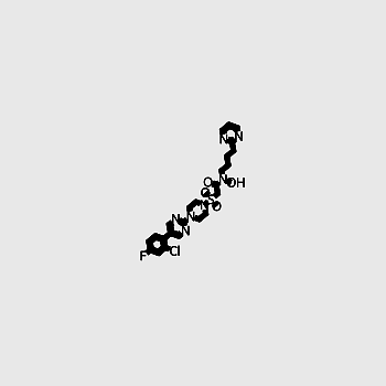 O=C(CS(=O)(=O)N1CCN(c2ncc(-c3ccc(F)cc3Cl)cn2)CC1)N(O)CCCCc1ncccn1